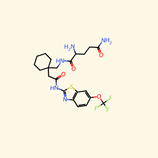 NC(=O)CCC(N)C(=O)NCC1(CC(=O)Nc2nc3ccc(OC(F)(F)F)cc3s2)CCCCC1